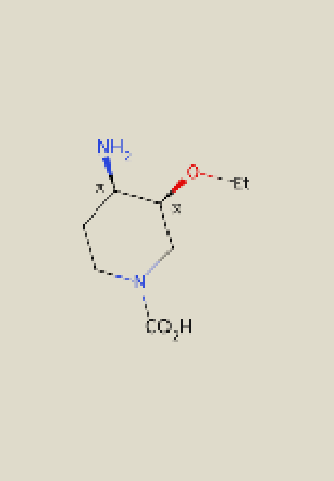 CCO[C@H]1CN(C(=O)O)CC[C@H]1N